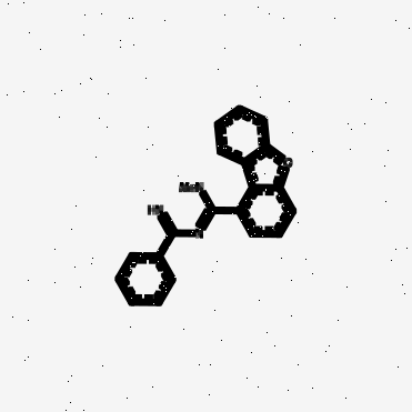 CN/C(=N\C(=N)c1ccccc1)c1cccc2oc3ccccc3c12